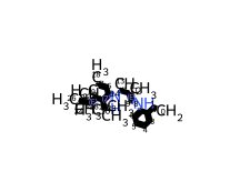 C=Cc1ccccc1N/C=C(\C)C(=C)N/C(C=C(C)C)=C(/C=C/C(C)(C)C)C(C)(C)C